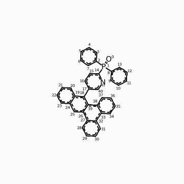 O=P(c1ccccc1)(c1ccccc1)c1ccc(-c2c3ccccc3cc3c4ccccc4c4ccccc4c23)cn1